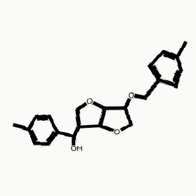 Cc1ccc(COC2COC3C(C(O)c4ccc(C)cc4)COC23)cc1